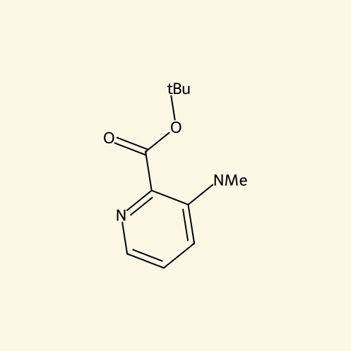 CNc1cccnc1C(=O)OC(C)(C)C